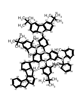 Cc1ccccc1N(c1ccc2c(c1)N(c1c(C)cc(C(C)(C)C)cc1N)c1cc(-c3cccc4c3Cc3ccc5c(c3-4)-c3ccccc3C5)cc3c1B2c1ccc(-n2c4ccc(C(C)(C)C)cc4c4cc(C(C)(C)C)ccc42)cc1N3c1c(N)cc(C(C)(C)C)cc1N)C1(C)C=CC=CC1